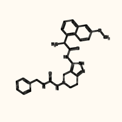 COc1ccc2c(C(C)C(=O)Nc3[nH]nc4c3CN(NC(=O)NCc3ccccc3)CC4)cccc2c1